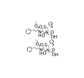 CCOC(=O)[C@H](CCc1ccccc1)N[C@H]1CS[C@H](c2cccs2)CN(CC(=O)O)C1=O.CCOC(=O)[C@H](CCc1ccccc1)N[C@H]1CS[C@H](c2cccs2)CN(CC(=O)O)C1=O